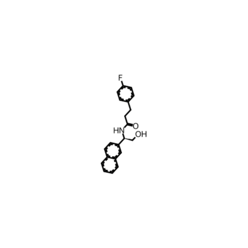 O=C(CCc1ccc(F)cc1)N[C@@H](CO)c1ccc2ccccc2c1